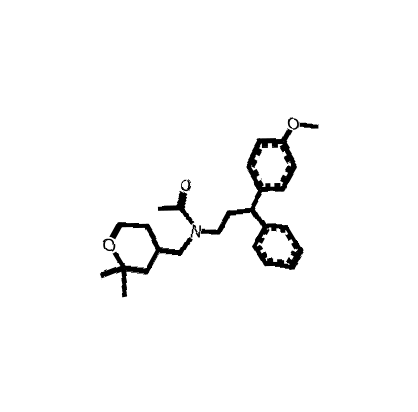 COc1ccc(C(CCN(CC2CCOC(C)(C)C2)C(C)=O)c2ccccc2)cc1